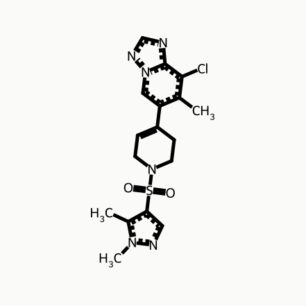 Cc1c(C2=CCN(S(=O)(=O)c3cnn(C)c3C)CC2)cn2ncnc2c1Cl